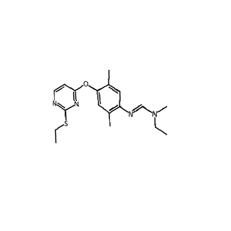 CCSc1nccc(Oc2cc(C)c(N=CN(C)CC)cc2C)n1